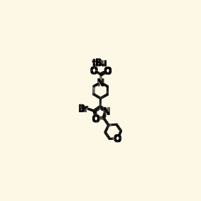 CC(C)(C)OC(=O)N1CCC(c2nc(C3CCOCC3)oc2Br)CC1